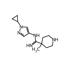 CC1(C(=N)Nc2cnn(C3CC3)c2)CCNCC1